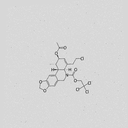 CC(=O)O[C@H]1C=C(CCCl)[C@@H]2[C@H](c3cc4c(cc3CN2C(=O)OCC(Cl)(Cl)Cl)OCO4)[C@@H]1C